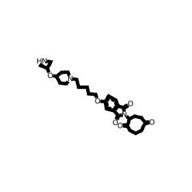 O=C1CCCC(=O)C(N2C(=O)c3ccc(OCCCCCN4CCC(OC5CNC5)CC4)cc3C2=O)CC1